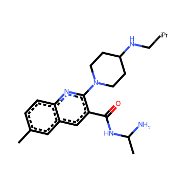 Cc1ccc2nc(N3CCC(NCC(C)C)CC3)c(C(=O)NC(C)N)cc2c1